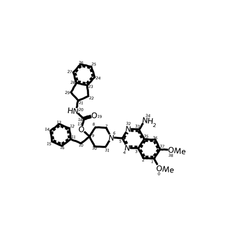 COc1cc2nc(N3CCC(Cc4ccccc4)(OC(=O)NC4Cc5ccccc5C4)CC3)nc(N)c2cc1OC